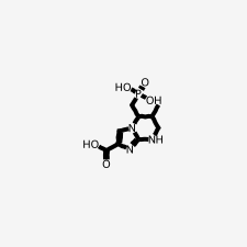 CC1CNc2nc(C(=O)O)cn2C1CP(=O)(O)O